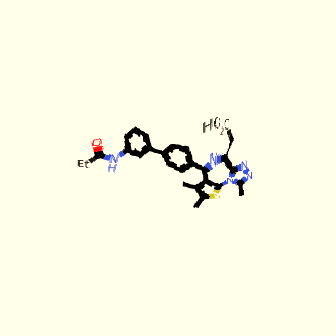 CCC(=O)Nc1cccc(-c2ccc(C3=N[C@@H](CC(=O)O)c4nnc(C)n4-c4sc(C)c(C)c43)cc2)c1